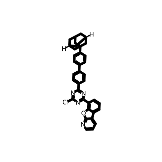 Clc1nc(-c2ccc(-c3ccc(C45CC6C[C@H](C4)C[C@@H](C6)C5)cc3)cc2)nc(-c2cccc3c2oc2ncccc23)n1